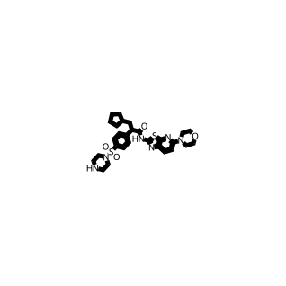 O=C(Nc1nc2ccc(N3CCOCC3)nc2s1)C(CC1CCCC1)c1ccc(S(=O)(=O)N2CCNCC2)cc1